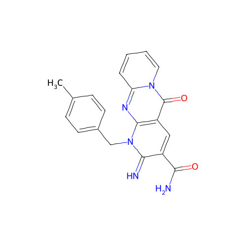 Cc1ccc(Cn2c(=N)c(C(N)=O)cc3c(=O)n4ccccc4nc32)cc1